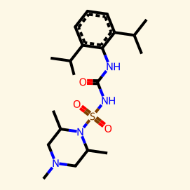 CC(C)c1cccc(C(C)C)c1NC(=O)NS(=O)(=O)N1C(C)CN(C)CC1C